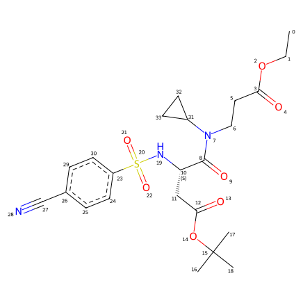 CCOC(=O)CCN(C(=O)[C@H](CC(=O)OC(C)(C)C)NS(=O)(=O)c1ccc(C#N)cc1)C1CC1